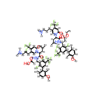 CCOC(=O)C[C@H](NC(=O)C(CC(C)C)n1cc(CCCN(C)C)c(C(F)(F)F)cc1=O)c1c(F)c(-c2c(C)ccc(OC)c2C)cc(C(F)(F)F)c1F.COc1ccc(C)c(-c2cc(C(F)(F)F)c(F)c([C@H](CC(=O)O)NC(=O)C(CC(C)C)n3cc(CCCN(C)C)c(C(F)(F)F)cc3=O)c2F)c1C